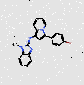 C[N+]1=c2ccccc2=N/C1=N\c1cc(-c2ccc(Br)cc2)n2ccccc12